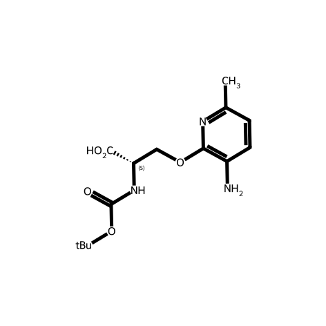 Cc1ccc(N)c(OC[C@H](NC(=O)OC(C)(C)C)C(=O)O)n1